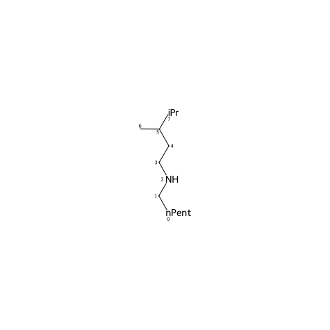 CCCCCCNCCC(C)C(C)C